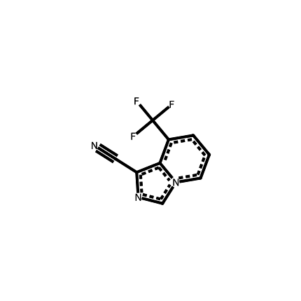 N#Cc1ncn2cccc(C(F)(F)F)c12